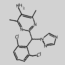 Cc1nc(C(c2c(Cl)cccc2Cl)n2cncn2)nc(C)c1N